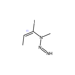 C/C=C(/I)N(C)N=N